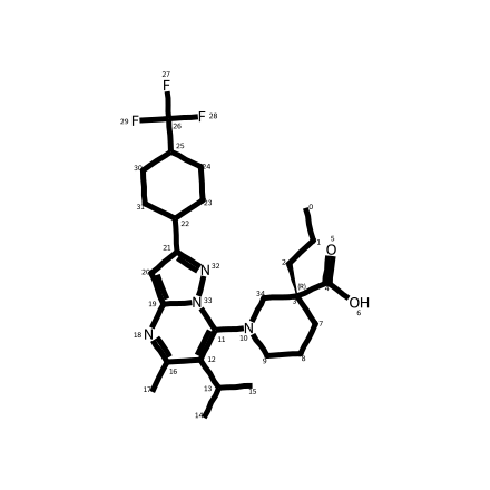 CCC[C@@]1(C(=O)O)CCCN(c2c(C(C)C)c(C)nc3cc(C4CCC(C(F)(F)F)CC4)nn23)C1